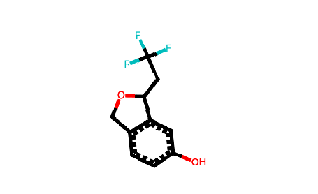 Oc1ccc2c(c1)C(CC(F)(F)F)OC2